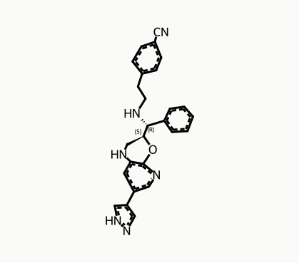 N#Cc1ccc(CCN[C@H](c2ccccc2)[C@@H]2CNc3cc(-c4cn[nH]c4)cnc3O2)cc1